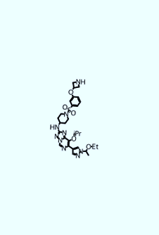 CCOC(C)n1cc(-c2ncn3nc(NC4CCN(S(=O)(=O)c5cccc(OC6CNC6)c5)CC4)nc3c2OC(C)C)cn1